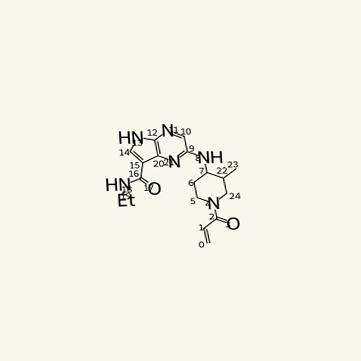 C=CC(=O)N1CCC(Nc2cnc3[nH]cc(C(=O)NCC)c3n2)C(C)C1